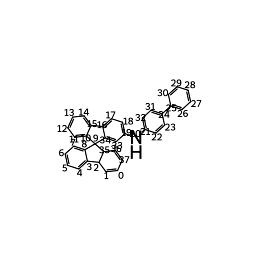 C1=CC2c3ccccc3C3(c4ccccc4-c4ccc(Nc5ccc(-c6ccccc6)cc5)cc43)C2C=C1